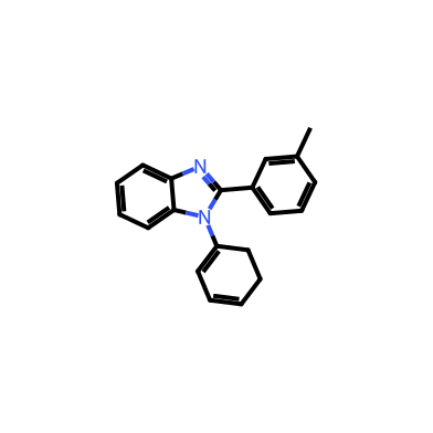 Cc1cccc(-c2nc3ccccc3n2C2=CC=CCC2)c1